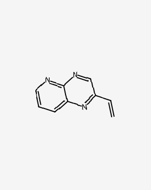 C=Cc1cnc2ncccc2n1